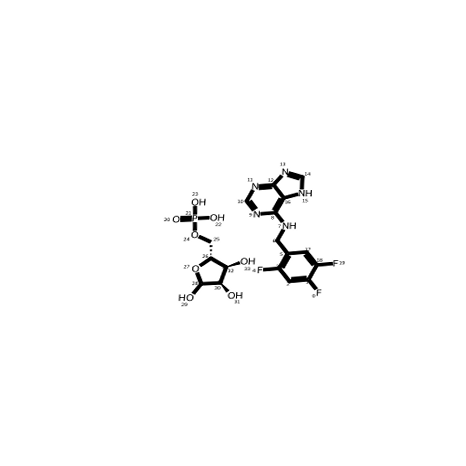 Fc1cc(F)c(CNc2ncnc3nc[nH]c23)cc1F.O=P(O)(O)OC[C@H]1OC(O)[C@H](O)[C@@H]1O